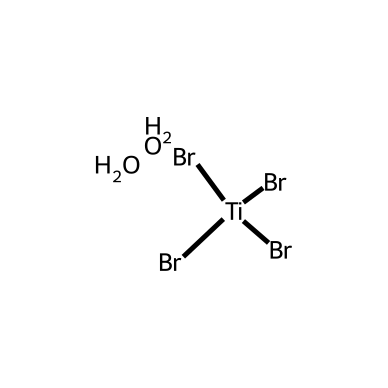 O.O.[Br][Ti]([Br])([Br])[Br]